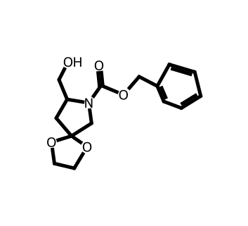 O=C(OCc1ccccc1)N1CC2(CC1CO)OCCO2